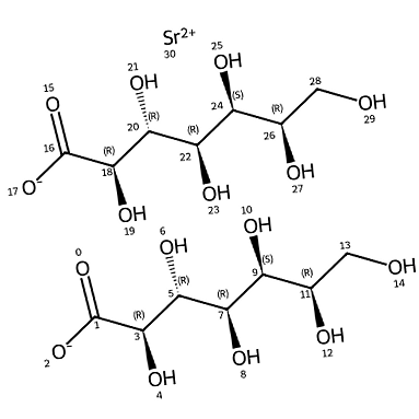 O=C([O-])[C@H](O)[C@H](O)[C@H](O)[C@@H](O)[C@H](O)CO.O=C([O-])[C@H](O)[C@H](O)[C@H](O)[C@@H](O)[C@H](O)CO.[Sr+2]